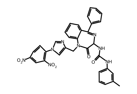 Cc1cccc(NC(=O)NC2N=C(c3ccccc3)c3ccccc3N(Cc3cn(-c4ccc([N+](=O)[O-])cc4[N+](=O)[O-])cn3)C2=O)c1